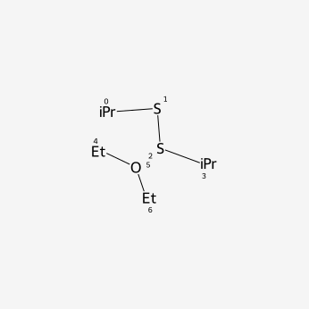 CC(C)SSC(C)C.CCOCC